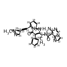 C[C@@H](NC(=O)c1c(N)ncn2ccnc12)c1nc2cccc(C#Cc3cnn(C)c3)n2c(=O)c1-c1ccccc1